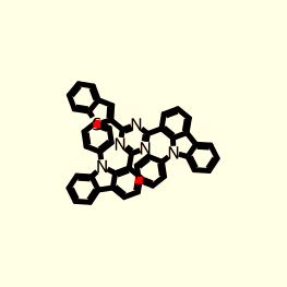 c1ccc(-n2c3ccccc3c3cccc(-c4nc(-c5cc6ccccc6s5)nc(-c5cccc6c7ccccc7n(-c7ccccc7)c56)n4)c32)cc1